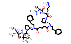 CN[C@@H](C)C(=O)N[C@@H](CCCN)C(=O)N1CCC[C@H]1CN(CCc1ccccc1)C(=O)CCCC(=O)N(CCc1ccccc1)C[C@@H]1CCCN1C(=O)[C@@H](NC(=O)[C@H](C)NC)C(C)(C)C